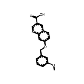 COc1cccc(COc2ccc3cc(C(=O)O)cnc3c2)c1